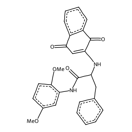 COc1ccc(OC)c(NC(=O)C(Cc2ccccc2)NC2=CC(=O)c3ccccc3C2=O)c1